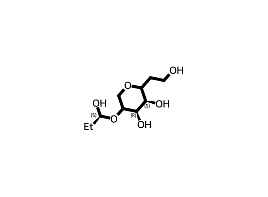 CC[C@@H](O)OC1COC(CCO)[C@@H](O)[C@H]1O